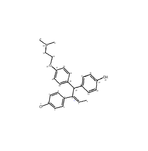 C/C=C(/c1ccc(Cl)cc1)C(c1ccc(O)cc1)c1ccc(OCCN(C)C)cc1